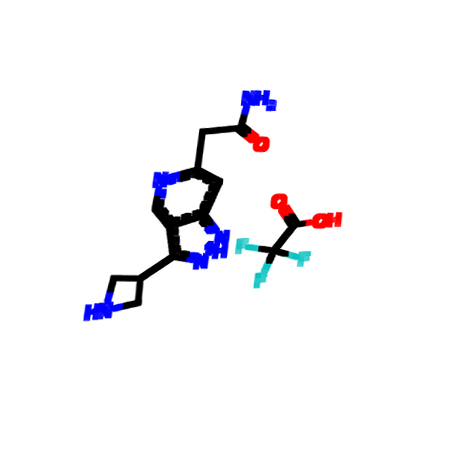 NC(=O)Cc1cc2[nH]nc(C3CNC3)c2cn1.O=C(O)C(F)(F)F